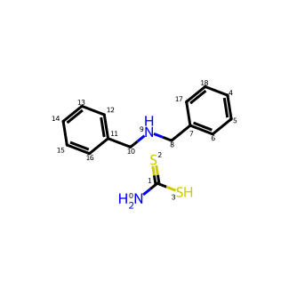 NC(=S)S.c1ccc(CNCc2ccccc2)cc1